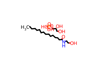 CCCCCCCCCCCCCCCC(=O)NCCO.O=P(O)(O)OCC(O)CO